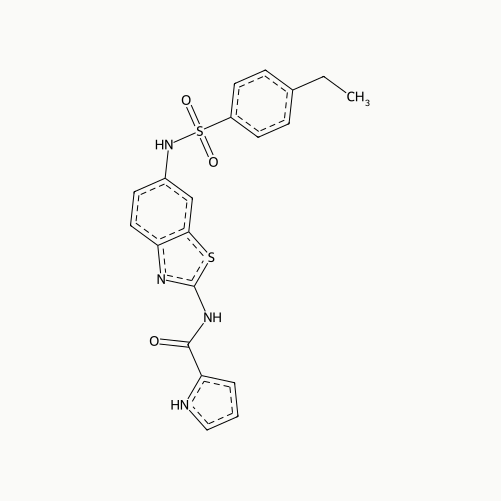 CCc1ccc(S(=O)(=O)Nc2ccc3nc(NC(=O)c4ccc[nH]4)sc3c2)cc1